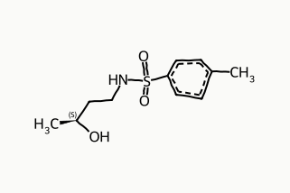 Cc1ccc(S(=O)(=O)NCC[C@H](C)O)cc1